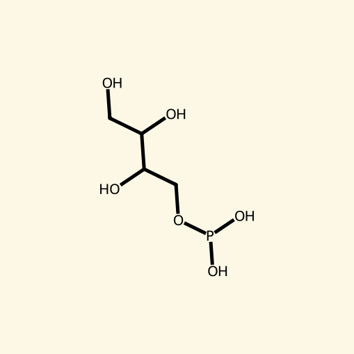 OCC(O)C(O)COP(O)O